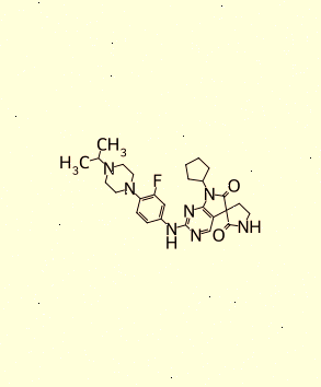 CC(C)N1CCN(c2ccc(Nc3ncc4c(n3)N(C3CCCC3)C(=O)C43CCNC3=O)cc2F)CC1